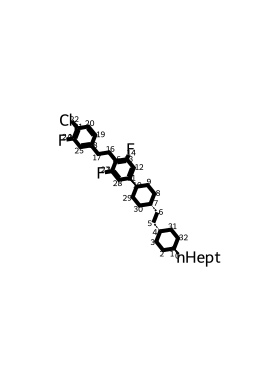 CCCCCCC[C@H]1CC[C@H](CC[C@H]2CC[C@H](c3cc(F)c(CCc4ccc(Cl)c(F)c4)c(F)c3)CC2)CC1